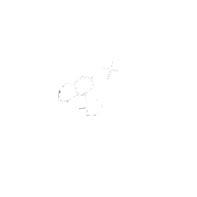 C[Si]1(c2cc(OS(=O)(=O)C(F)(F)F)cc3ccccc23)CCCC1